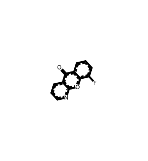 O=c1c2cccnc2oc2c(F)cccc12